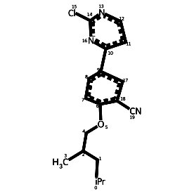 CC(C)CC(C)COc1ccc(-c2ccnc(Cl)n2)cc1C#N